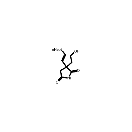 CCCCCCCC=CC1(CCO)CC(=O)NC1=O